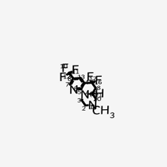 CN1CCN2c3ncc(C(F)(F)F)cc3C(F)(F)C[C@@H]2C1